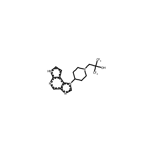 OC(CN1CCC(n2cnc3cnc4[nH]ccc4c32)CC1)(C(F)(F)F)C(F)(F)F